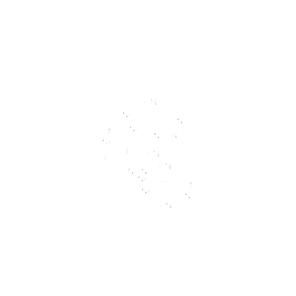 N#[C][Fe-2]([C]#N)([C]#N)([C]#N)([C]#N)[C]#N.N#[C][Fe-2]([C]#N)([C]#N)([C]#N)([C]#N)[C]#N.N#[C][Fe-2]([C]#N)([C]#N)([C]#N)([C]#N)[C]#N.[Ga+3].[Ga+3]